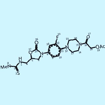 CNC(=S)NCC1CN(c2ccc(N3CCN(C(=O)COC(C)=O)CC3)c(F)c2)C(=O)O1